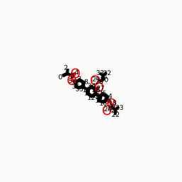 C=C(C)C(=O)Oc1ccc(-c2ccc(-c3ccc(OC(=O)C(C)C)cc3)c(OC(=O)C=C(C)C)c2)cc1